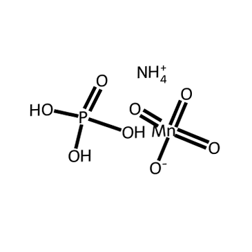 O=P(O)(O)O.[NH4+].[O]=[Mn](=[O])(=[O])[O-]